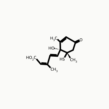 CC1=CC(=O)C[C@](C)(S)[C@@]1(O)/C=C/C(C)=C\C(=O)O